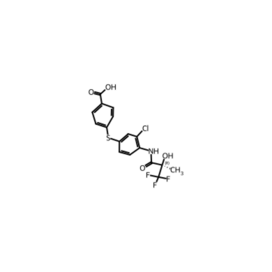 C[C@@](O)(C(=O)Nc1ccc(Sc2ccc(C(=O)O)cc2)cc1Cl)C(F)(F)F